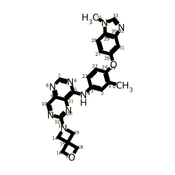 Cc1cc(Nc2ncnc3cnc(N4CC5(COC5)C4)nc23)ccc1Oc1ccc2c(c1)ncn2C